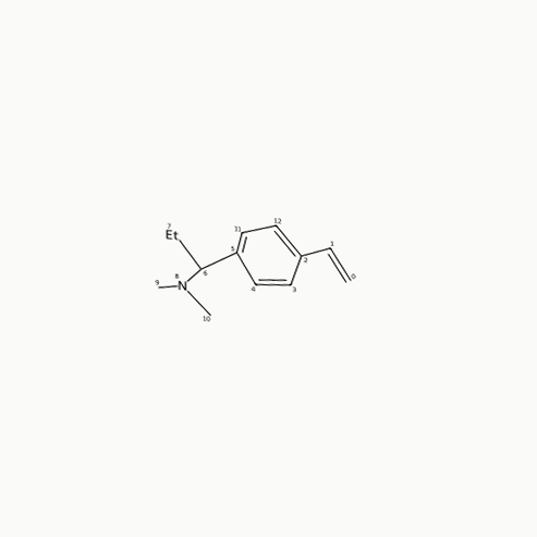 C=Cc1ccc(C(CC)N(C)C)cc1